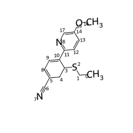 CCSC1CC(C#N)=CC=C1c1ccc(OC)cn1